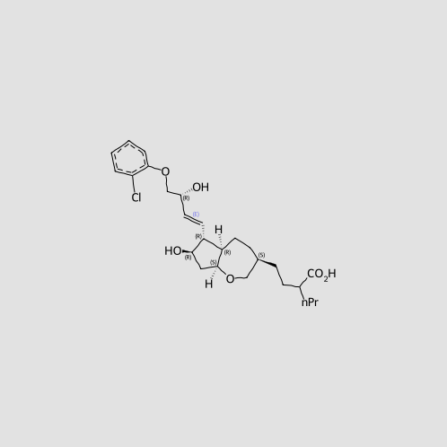 CCCC(CC[C@@H]1CC[C@@H]2[C@@H](/C=C/[C@@H](O)COc3ccccc3Cl)[C@H](O)C[C@@H]2OC1)C(=O)O